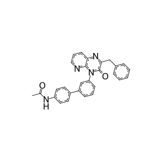 CC(=O)Nc1ccc(-c2cccc(-n3c(=O)c(Cc4ccccc4)nc4cccnc43)c2)cc1